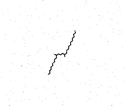 CCCCCCCCCCCCC(C)CCCC(C)CCCCCCCCCC